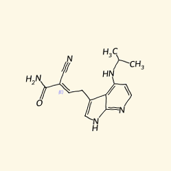 CC(C)Nc1ccnc2[nH]cc(C/C=C(\C#N)C(N)=O)c12